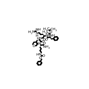 CC(C)(C)OC(=O)N[C@@H](Cc1ccccc1)C(=O)N[C@H](CCCNC(=N)N)C(=O)N[C@@H](CC1CCOCC1)C(=O)N[C@@H](CCCCNC(=O)OCc1ccccc1)C(N)=O